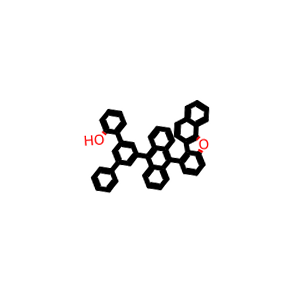 Oc1ccccc1-c1cc(-c2ccccc2)cc(-c2c3ccccc3c(-c3cccc4oc5c6ccccc6ccc5c34)c3ccccc23)c1